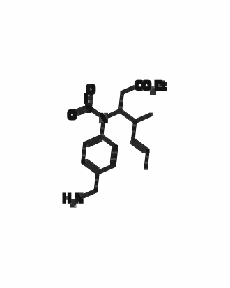 CC=CC(C)C(CC(=O)OCC)N(c1ccc(CN)cc1)[SH](=O)=O